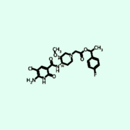 CO[C@@H]1CN(CC(=O)OC(C)c2ccc(F)cc2)CC[C@@H]1NC(=O)c1cc(Cl)c(N)[nH]c1=O